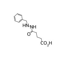 O=C(O)CCCC(=O)NNCc1ccccc1